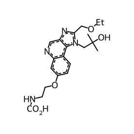 CCOCc1nc2cnc3cc(OCCNC(=O)O)ccc3c2n1CC(C)(C)O